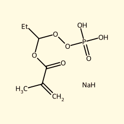 C=C(C)C(=O)OC(CC)OOP(=O)(O)O.[NaH]